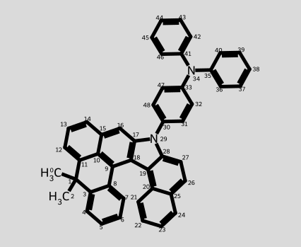 CC1(C)c2ccccc2-c2c3c1cccc3cc1c2c2c3ccccc3ccc2n1-c1ccc(N(c2ccccc2)c2ccccc2)cc1